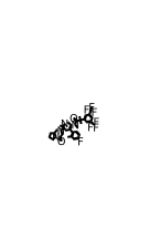 Cc1cc(F)ccc1C1=C(N(C)C(=O)C(C)(C)c2cc(C(F)(F)F)cc(C(F)(F)F)c2)C=NC(C)(N2CC(=O)N3CCCC3C2)C1